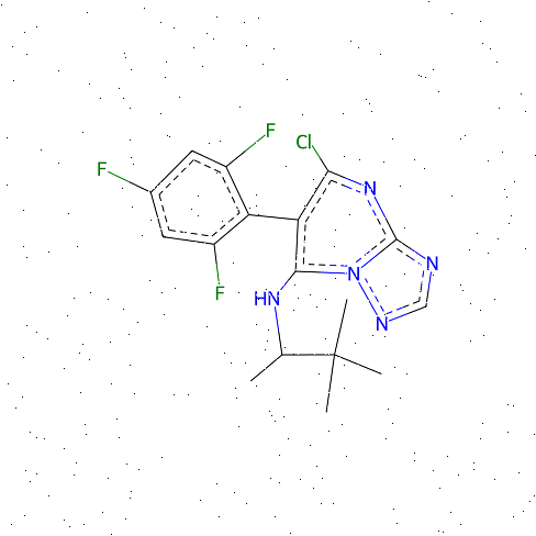 CC(Nc1c(-c2c(F)cc(F)cc2F)c(Cl)nc2ncnn12)C(C)(C)C